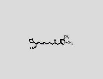 Cc1cc(CNCCC/C=C/C=C(\C=N)C2CCC2)nn1C